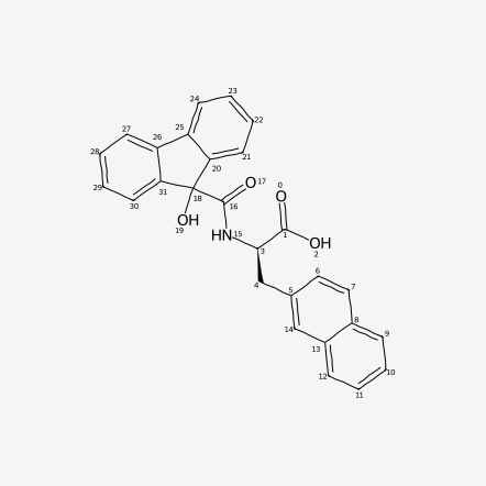 O=C(O)[C@@H](Cc1ccc2ccccc2c1)NC(=O)C1(O)c2ccccc2-c2ccccc21